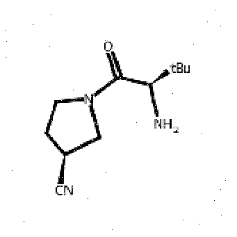 CC(C)(C)[C@@H](N)C(=O)N1CC[C@H](C#N)C1